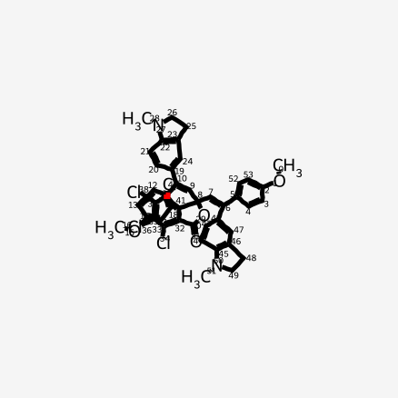 COc1ccc(C(=CC2(C=C(c3ccc(OC)cc3)c3ccc4c(c3)CCN4C)OC(=O)c3c(Cl)c(Cl)c(Cl)c(Cl)c32)c2ccc3c(c2)CCN3C)cc1